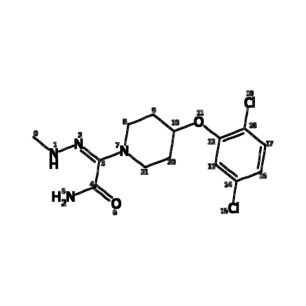 CN/N=C(\C(N)=O)N1CCC(Oc2cc(Cl)ccc2Cl)CC1